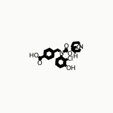 O=C(O)c1ccc(CN(C(=O)O[C@H]2CN3CCC2CC3)c2cccc(O)c2Cl)cc1